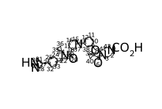 O=C(O)N1CCN(C(=O)C2(Oc3cccc(N4CCCC(C(=O)N(Cc5ccc(-c6cn[nH]c6)cc5)C5CC5)C4)c3)CC2)CC1